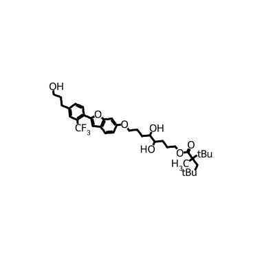 CC(C)(C)CC(C)(C(=O)OCCCC(O)C(O)CCCOc1ccc2cc(-c3ccc(CCCO)cc3C(F)(F)F)oc2c1)C(C)(C)C